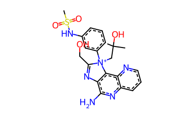 CC(C)(O)C[N+]1(c2cccc(NS(C)(=O)=O)c2)C(CO)=Nc2c(N)nc3cccnc3c21